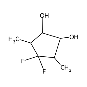 CC1C(O)C(O)C(C)C1(F)F